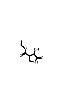 CCOC(=O)C1CNC(=O)C1O